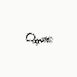 CC(C)(C)[Si](C)(C)OC/C=C/c1c[nH]c(=O)c(N2CCCCCCCCCCCC2)n1